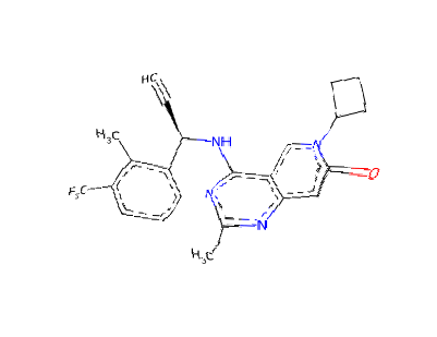 C#C[C@@H](Nc1nc(C)nc2cc(=O)n(C3CCC3)cc12)c1cccc(C(F)(F)F)c1C